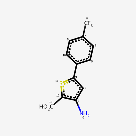 Nc1cc(-c2ccc(C(F)(F)F)cc2)sc1C(=O)O